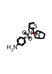 CN(C1CC2CCC(C1)N2Cc1cccs1)S(=O)(=O)c1ccc(N)cc1